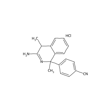 CC1C(N)=NC(C)(c2ccc(C#N)cc2)c2ccccc21.Cl